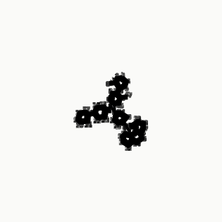 Cc1ccccc1-c1ccc(N(c2ccc(-c3ccccc3)cc2)c2ccc(-n3c4cccc5ccc6cccc3c6c54)cc2)cc1C